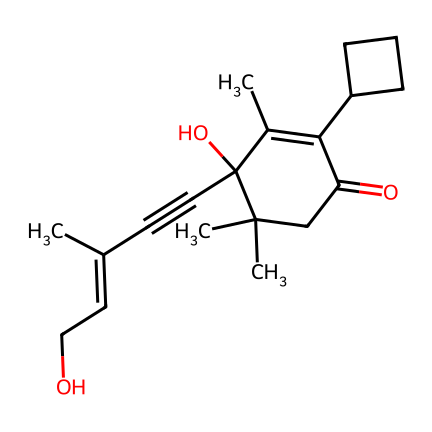 CC(C#CC1(O)C(C)=C(C2CCC2)C(=O)CC1(C)C)=CCO